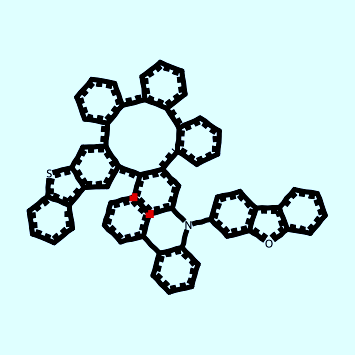 c1ccc(-c2ccccc2N(c2ccc3c(c2)oc2ccccc23)c2ccc3c(c2)c2ccccc2c2ccccc2c2ccccc2c2cc4sc5ccccc5c4cc32)cc1